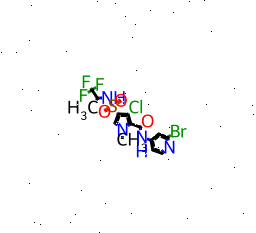 CC(NS(=O)(=O)c1cn(C)c(C(=O)Nc2ccnc(Br)c2)c1Cl)C(F)(F)F